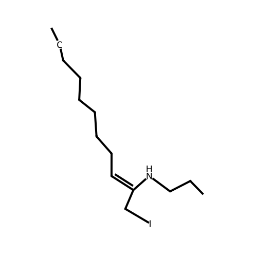 CCCCCCCCC=C(CI)NCCC